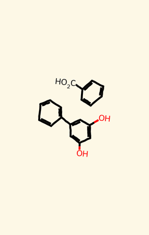 O=C(O)c1ccccc1.Oc1cc(O)cc(-c2ccccc2)c1